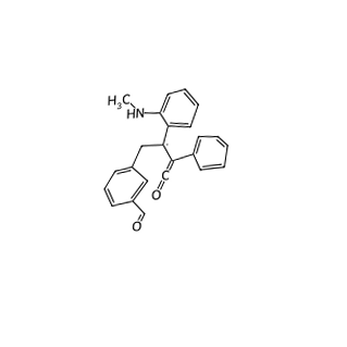 CNc1ccccc1[C](Cc1cccc(C=O)c1)C(=C=O)c1ccccc1